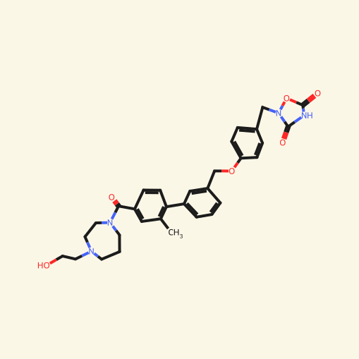 Cc1cc(C(=O)N2CCCN(CCO)CC2)ccc1-c1cccc(COc2ccc(Cn3oc(=O)[nH]c3=O)cc2)c1